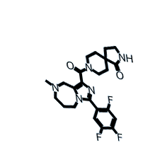 CN1CCCn2c(-c3cc(F)c(F)cc3F)nc(C(=O)N3CCC4(CCNC4=O)CC3)c2C1